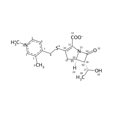 Cc1c[n+](C)ccc1CSC1=C(C(=O)[O-])N2C(=O)[C@H](C(C)O)[C@H]2C1